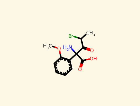 COc1ccccc1C(N)(C(=O)O)C(=O)C(C)Br